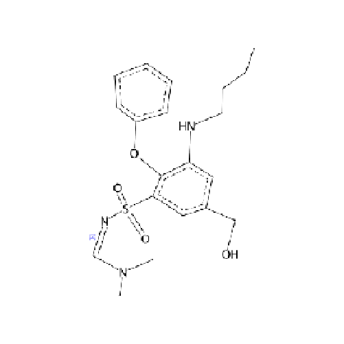 CCCCNc1cc(CO)cc(S(=O)(=O)/N=C\N(C)C)c1Oc1ccccc1